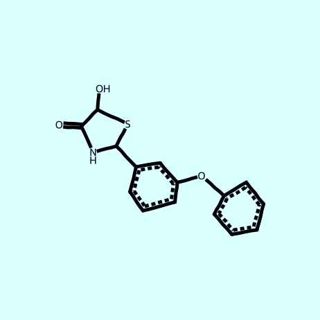 O=C1NC(c2cccc(Oc3ccccc3)c2)SC1O